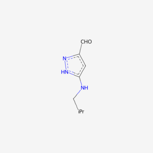 CC(C)CNc1cc(C=O)n[nH]1